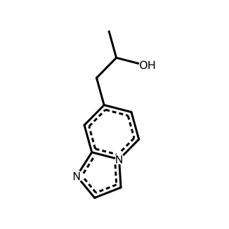 CC(O)Cc1ccn2ccnc2c1